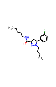 CCCCCNC(=O)C1=NN(CCCC)C(c2cccc(Cl)c2)C1